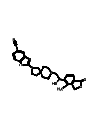 Cc1c([C@@H](O)CN2CCC3(CC2)CCN(c2nc4cc(C#N)ccc4[nH]2)C3)ccc2c1COC2=O